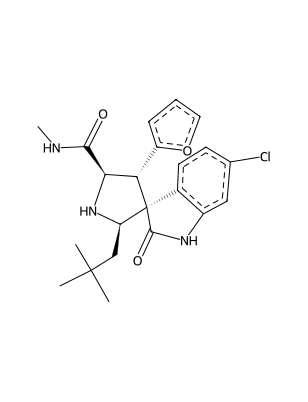 CNC(=O)[C@@H]1N[C@H](CC(C)(C)C)[C@]2(C(=O)Nc3cc(Cl)ccc32)[C@H]1c1ccco1